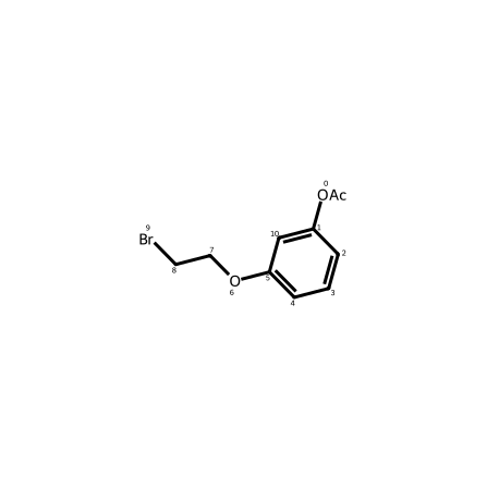 CC(=O)Oc1cccc(OCCBr)c1